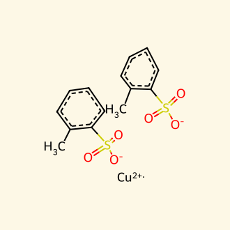 Cc1ccccc1S(=O)(=O)[O-].Cc1ccccc1S(=O)(=O)[O-].[Cu+2]